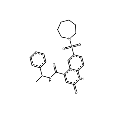 CC(NC(=O)c1cc(=O)[nH]c2ccc(S(=O)(=O)N3CCCCCC3)cc12)c1ccccc1